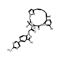 CC(=O)c1nn(CC(=O)N2[C@H]3C[C@]4(C[C@@H]24)Cn2ccc(n2)/C=C\C/C=C(/F)c2ccc(Br)nc2NC3=O)c2ccc(-c3cnc(C)nc3)cc12